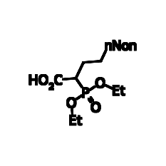 CCCCCCCCCCCC(C(=O)O)P(=O)(OCC)OCC